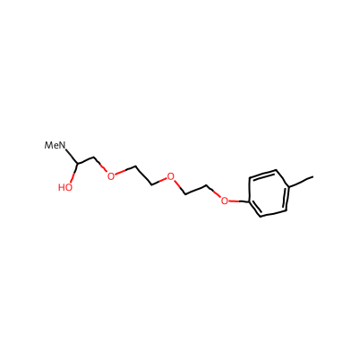 CNC(O)COCCOCCOc1ccc(C)cc1